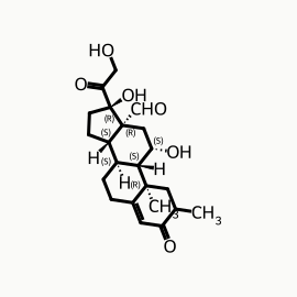 CC1C[C@@]2(C)C(=CC1=O)CC[C@@H]1[C@@H]2[C@@H](O)C[C@@]2(C=O)[C@H]1CC[C@]2(O)C(=O)CO